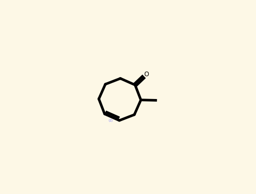 CC1C/C=C\CCCC1=O